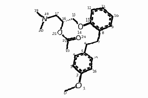 COc1ccc(CCc2ccccc2OC[C@@H](CN(C)C)OC(C)=O)cc1